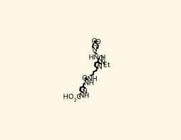 CCNc1nc(CCCCNC(=O)NCc2ccc(NC(=O)O)nc2)ccc1C(=O)NCCN1CCS(=O)(=O)CC1